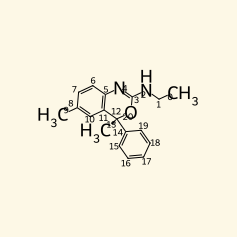 CCNC1=Nc2ccc(C)cc2[C@@](C)(c2ccccc2)O1